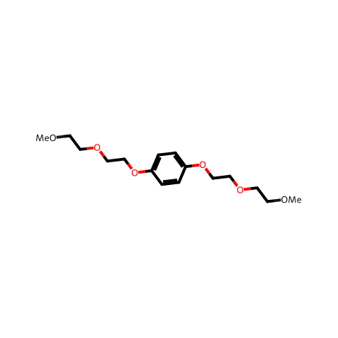 COCCOCCOc1ccc(OCCOCCOC)cc1